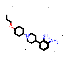 CCCO[C@H]1CC[C@H](N2CCC(c3cccc(N)c3N)CC2)CC1